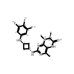 Cc1nc(N[C@H]2C[C@H](Nc3cc(F)c(F)c(F)c3)C2)nc2c1NC(=O)[C@H](C)N2C